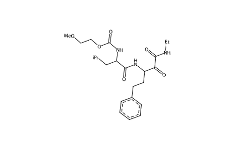 CCNC(=O)C(=O)C(CCc1ccccc1)NC(=O)C(CC(C)C)NC(=O)OCCOC